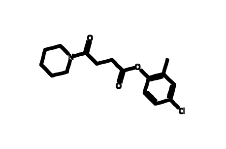 Cc1cc(Cl)ccc1OC(=O)CCC(=O)N1CCCCC1